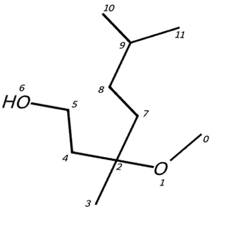 COC(C)(CCO)CCC(C)C